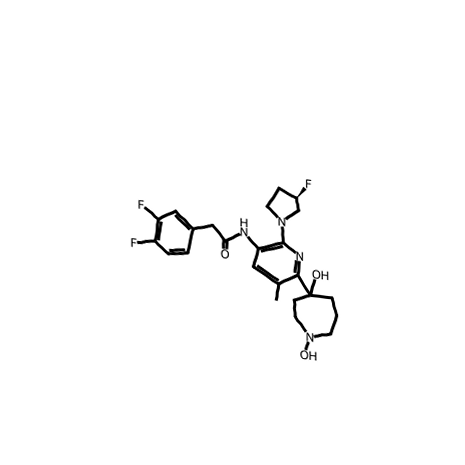 Cc1cc(NC(=O)Cc2ccc(F)c(F)c2)c(N2CC[C@@H](F)C2)nc1C1(O)CCCN(O)CC1